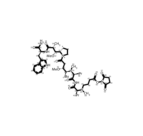 CC[C@H](C)[C@@H]([C@@H](CC(=O)N1CCC[C@H]1[C@H](OC)[C@@H](C)C(=O)N[C@@H](Cc1c[nH]c2ccccc12)C(N)=O)OC)N(C)[C@H](C(=O)NC(=O)[C@H](C(C)C)N(C)CCCC(=O)ON1C(=O)CCC1=O)C(C)C